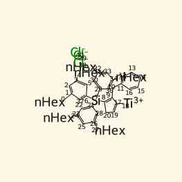 CCCCCCc1cc(CCCCCC)cc([Si](C2=C(Cc3ccccc3)[C]([Ti+3])=CC2)(c2cc(CCCCCC)cc(CCCCCC)c2)c2cc(CCCCCC)cc(CCCCCC)c2)c1.[Cl-].[Cl-].[Cl-]